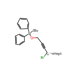 CCCCCCC[C@H](Br)C#CCO[Si](c1ccccc1)(c1ccccc1)C(C)(C)C